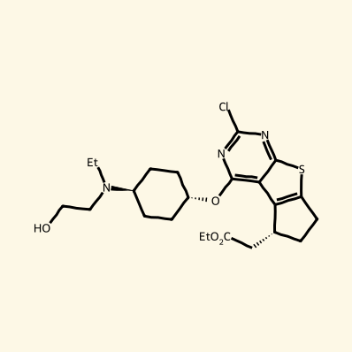 CCOC(=O)C[C@H]1CCc2sc3nc(Cl)nc(O[C@H]4CC[C@H](N(CC)CCO)CC4)c3c21